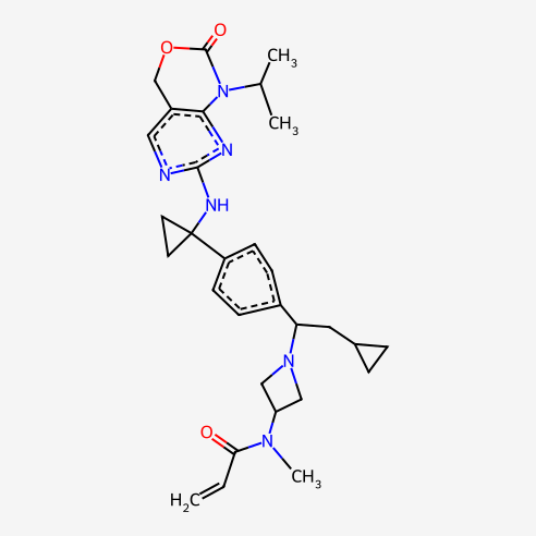 C=CC(=O)N(C)C1CN(C(CC2CC2)c2ccc(C3(Nc4ncc5c(n4)N(C(C)C)C(=O)OC5)CC3)cc2)C1